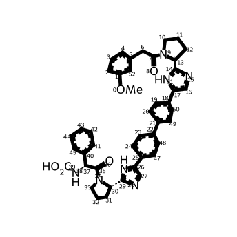 COc1cccc(CC(=O)N2CCC[C@H]2c2ncc(-c3ccc(-c4ccc(-c5cnc([C@@H]6CCCN6C(=O)[C@H](NC(=O)O)c6ccccc6)[nH]5)cc4)cc3)[nH]2)c1